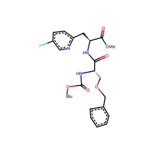 COC(=O)[C@H](Cc1ccc(F)cn1)NC(=O)[C@H](COCc1ccccc1)NC(=O)OC(C)(C)C